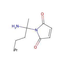 CC(C)CCC(C)(N)N1C(=O)C=CC1=O